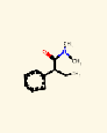 CCC(C(=O)N(C)C)c1ccccc1